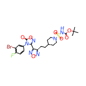 CC(C)(C)OC(=O)NS(=O)(=O)N1CCC(CCc2nonc2-c2noc(=O)n2-c2ccc(F)c(Br)c2)CC1